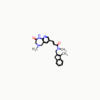 CC1=C(CN(C)C(=O)C=Cc2cnc3c(c2)CN(C)CC(=O)N3)Cc2ccccc21